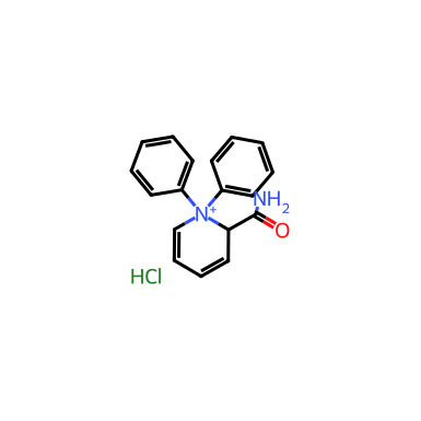 Cl.NC(=O)C1C=CC=C[N+]1(c1ccccc1)c1ccccc1